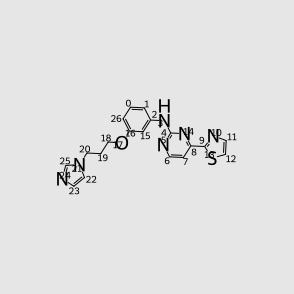 c1cc(Nc2nccc(-c3nccs3)n2)cc(OCCCn2ccnc2)c1